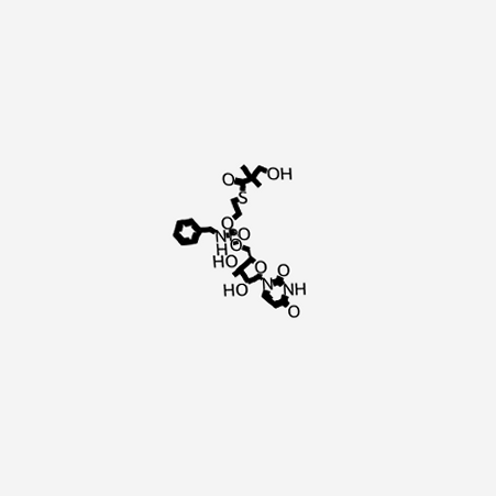 CC(C)(CO)C(=O)SCCOP(=O)(NCc1ccccc1)OC[C@H]1O[C@@H](n2ccc(=O)[nH]c2=O)C(O)C1(C)O